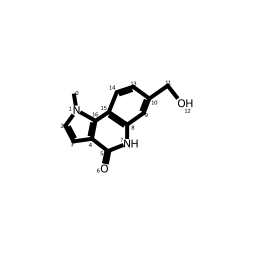 Cn1ccc2c(=O)[nH]c3cc(CO)ccc3c21